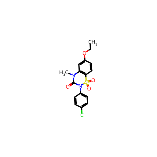 CCOc1ccc2c(c1)N(C)C(=O)N(c1ccc(Cl)cc1)S2(=O)=O